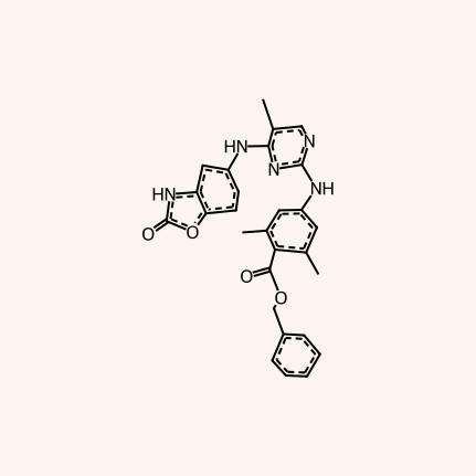 Cc1cnc(Nc2cc(C)c(C(=O)OCc3ccccc3)c(C)c2)nc1Nc1ccc2oc(=O)[nH]c2c1